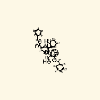 O=C(OCc1ccccc1)[C@@H](CO)NC(=O)C1(C(=O)N[C@H](CO)C(=O)OCc2ccccc2)CCCCC1